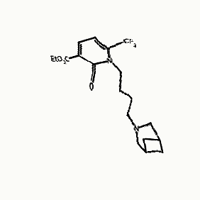 CCOC(=O)c1ccc(C(F)(F)F)n(CCCCN2CC3CC(C3)C2)c1=O